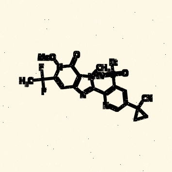 CCS(=N)(=O)c1cc(C2(C#N)CC2)cnc1-c1nc2cc(C(C)(F)F)n(OC)c(=O)c2n1C